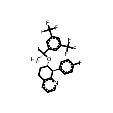 C[C@@](I)(O[C@H]1CCc2cccnc2[C@@H]1c1ccc(F)cc1)c1cc(C(F)(F)F)cc(C(F)(F)F)c1